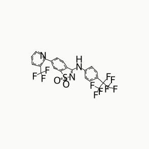 O=S1(=O)N=C(Nc2ccc(C(F)(C(F)(F)F)C(F)(F)F)cc2)c2ccc(-c3ncccc3C(F)(F)F)cc21